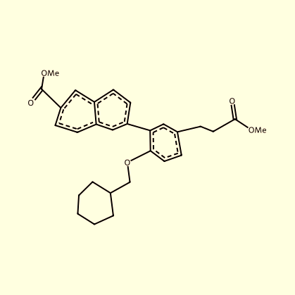 COC(=O)CCc1ccc(OCC2CCCCC2)c(-c2ccc3cc(C(=O)OC)ccc3c2)c1